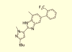 Cc1cc(-c2ccccc2C(F)(F)F)cc2nc(-c3cc(C(C)(C)C)nn3C)[nH]c12